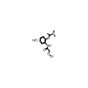 CCOCC(=O)Nc1ccccc1/N=C(\C)N(C)C.Cl